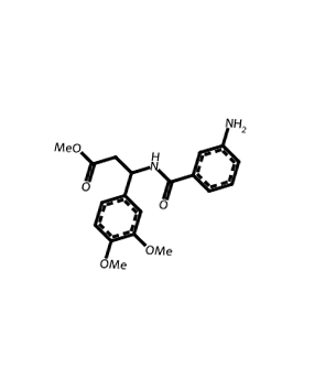 COC(=O)CC(NC(=O)c1cccc(N)c1)c1ccc(OC)c(OC)c1